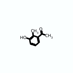 CC(=O)c1cccc(O)c1C